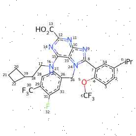 CC(C)c1ccc(OC(F)(F)F)c(-c2nc3nc(C(=O)O)nc(NCCC4CCC4)c3n2Cc2ccc(C(F)(F)F)c(F)c2)c1